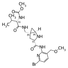 COCc1ccc(Br)nc1NC(=O)[C@@H]1C[C@@]2(CNC(=O)[C@@H](NC(=O)OC)C(C)C)C[C@H]2N1